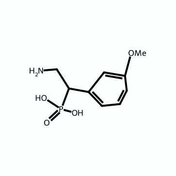 COc1cccc(C(CN)P(=O)(O)O)c1